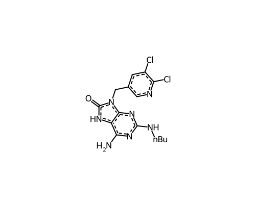 CCCCNc1nc(N)c2[nH]c(=O)n(Cc3cnc(Cl)c(Cl)c3)c2n1